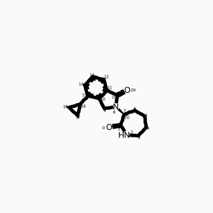 O=C1NCCCC[C@@H]1N1Cc2c(cccc2C2CC2)C1=O